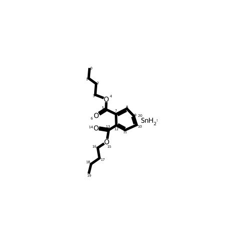 CCCCOC(=O)c1ccccc1C(=O)OCCCC.[SnH2]